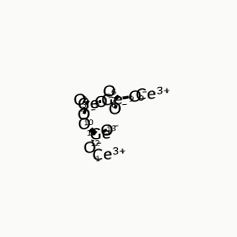 [Ce+3].[Ce+3].[O]=[Ge]([O-])[O-].[O]=[Ge]([O-])[O-].[O]=[Ge]([O-])[O-]